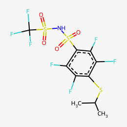 CC(C)Sc1c(F)c(F)c(S(=O)(=O)NS(=O)(=O)C(F)(F)F)c(F)c1F